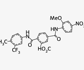 COc1cc([N+](=O)[O-])ccc1NC(=O)c1ccc(C(=O)Nc2ccc(C)c(C(F)(F)F)c2)c(C(=O)O)c1